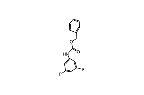 O=C(Nc1cc(F)cc(F)c1)OCc1ccccc1